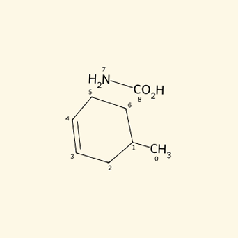 CC1CC=CCC1.NC(=O)O